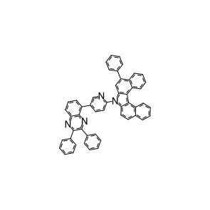 c1ccc(-c2nc3cccc(-c4ccc(-n5c6ccc7ccccc7c6c6c7ccccc7c(-c7ccccc7)cc65)nc4)c3nc2-c2ccccc2)cc1